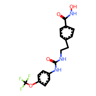 O=C(NCCc1ccc(C(=O)NO)cc1)Nc1ccc(OC(F)(F)F)cc1